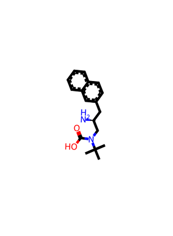 CC(C)(C)N(C[C@@H](N)Cc1ccc2ccccc2c1)C(=O)O